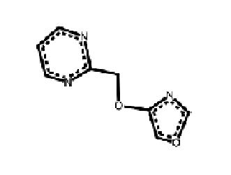 [c]1nc(OCc2ncccn2)co1